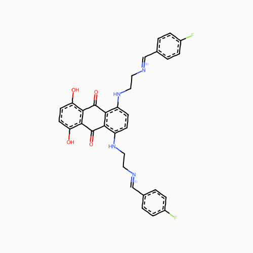 O=C1c2c(O)ccc(O)c2C(=O)c2c(NCC/N=C/c3ccc(F)cc3)ccc(NCC/N=C/c3ccc(F)cc3)c21